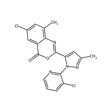 Cc1cc(-c2nc3c(C)cc(Cl)cc3c(=O)o2)n(-c2ncccc2Cl)n1